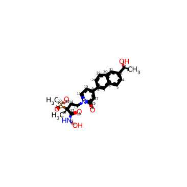 C[C@H](O)c1ccc2cc(-c3ccn(CC[C@](C)(C(=O)NO)S(C)(=O)=O)c(=O)c3)ccc2c1